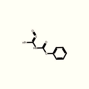 CCCC(NC(=O)Oc1ccccc1)=S=O